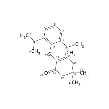 CC(C)c1cccc(C(C)C)c1SC1=CCC(C)(C)CC1=O